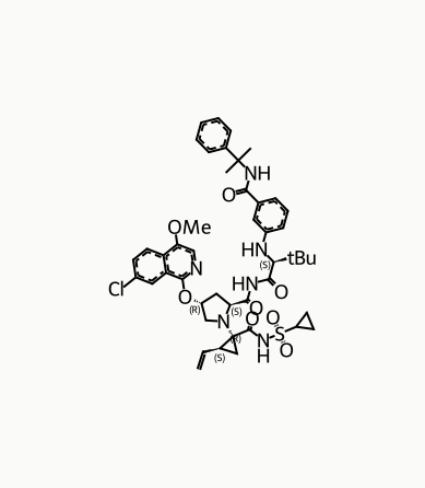 C=C[C@@H]1C[C@@]1(C(=O)NS(=O)(=O)C1CC1)N1C[C@H](Oc2ncc(OC)c3ccc(Cl)cc23)C[C@H]1C(=O)NC(=O)[C@@H](Nc1cccc(C(=O)NC(C)(C)c2ccccc2)c1)C(C)(C)C